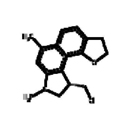 Cc1cc2c(c3c4c(ccc13)CCO4)[C@H](CCl)CN2P